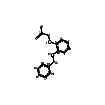 C=C(C)COc1ccccc1OCc1ccccc1